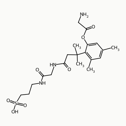 Cc1cc(C)c(C(C)(C)CC(=O)NCC(=O)NCCCS(=O)(=O)O)c(OC(=O)CN)c1